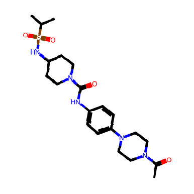 CC(=O)N1CCN(c2ccc(NC(=O)N3CCC(NS(=O)(=O)C(C)C)CC3)cc2)CC1